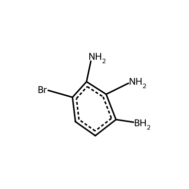 Bc1ccc(Br)c(N)c1N